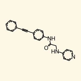 O=C(CNc1ccncc1)Nc1ccc(C#Cc2ccccc2)cc1